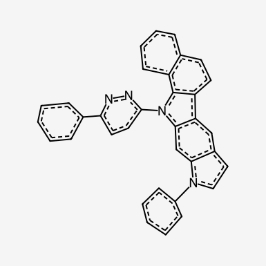 c1ccc(-c2ccc(-n3c4cc5c(ccn5-c5ccccc5)cc4c4ccc5ccccc5c43)nn2)cc1